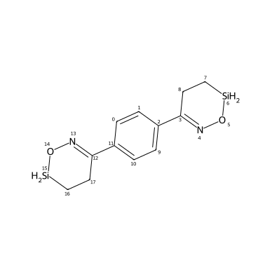 c1cc(C2=NO[SiH2]CC2)ccc1C1=NO[SiH2]CC1